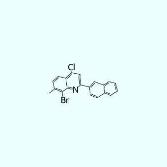 Cc1ccc2c(Cl)cc(-c3ccc4ccccc4c3)nc2c1Br